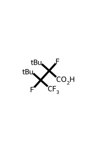 CC(C)(C)C(F)(C(=O)O)C(F)(C(C)(C)C)C(F)(F)F